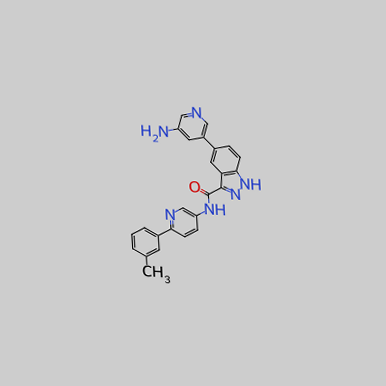 Cc1cccc(-c2ccc(NC(=O)c3n[nH]c4ccc(-c5cncc(N)c5)cc34)cn2)c1